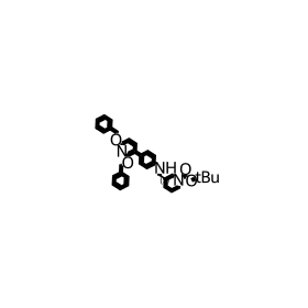 CC(C)(C)OC(=O)N1CCC[C@@H](CNc2ccc(-c3ccc(OCc4ccccc4)nc3OCc3ccccc3)cc2)C1